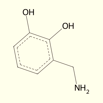 NCc1cccc(O)c1O